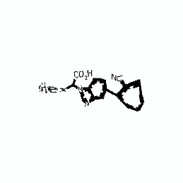 CCCCCCC(C(=O)O)n1cnc2cc(-c3ccccc3C#N)ccc21